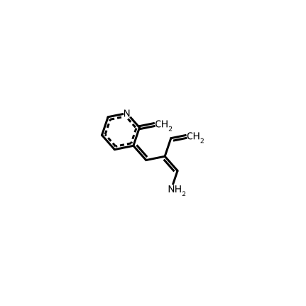 C=CC(=C/N)/C=c1/cccnc1=C